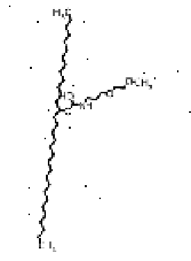 CCCCCCCCCCCCCCCCCCC(CCCCCCCCCCCCC)OC(O)NCCCOCCOC